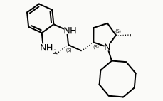 C[C@@H](C[C@@H]1CC[C@H](C)N1C1CCCCCCC1)Nc1ccccc1N